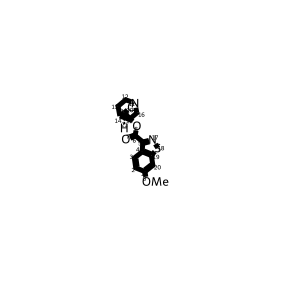 COc1ccc2c(C(=O)O[C@@H]3CN4CCC3CC4)nsc2c1